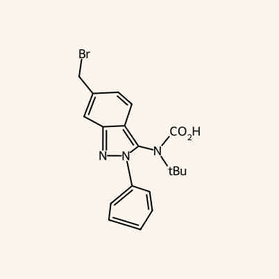 CC(C)(C)N(C(=O)O)c1c2ccc(CBr)cc2nn1-c1ccccc1